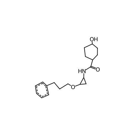 O=C(NC1CC1OCCCc1ccccc1)C1CCC(O)CC1